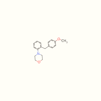 COc1ccc(Cc2ccccc2N2CCOCC2)cc1